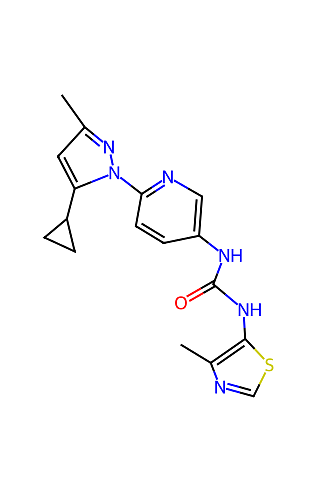 Cc1cc(C2CC2)n(-c2ccc(NC(=O)Nc3scnc3C)cn2)n1